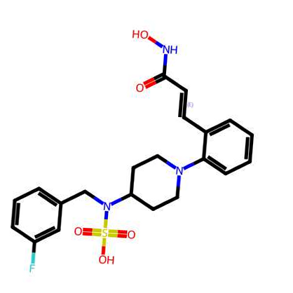 O=C(/C=C/c1ccccc1N1CCC(N(Cc2cccc(F)c2)S(=O)(=O)O)CC1)NO